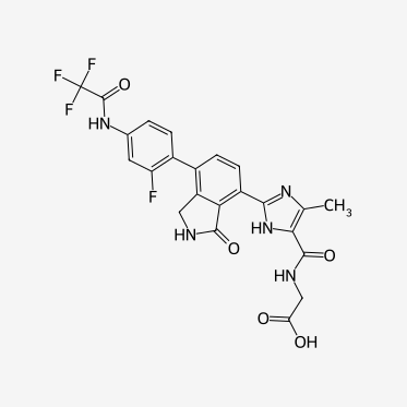 Cc1nc(-c2ccc(-c3ccc(NC(=O)C(F)(F)F)cc3F)c3c2C(=O)NC3)[nH]c1C(=O)NCC(=O)O